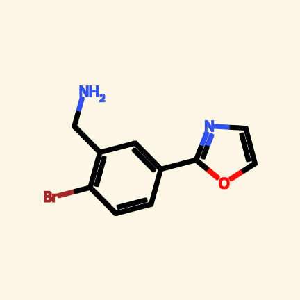 NCc1cc(-c2ncco2)ccc1Br